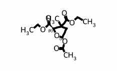 CCOC(=O)[C@@H]1O[C@@H](OC(C)=O)CC1(C)C(=O)OCC